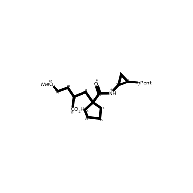 CCCCCC1CC1NC(=O)C1(CC(CCOC)C(=O)O)CCCC1